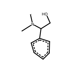 [CH2]N(C)C(CO)c1ccccc1